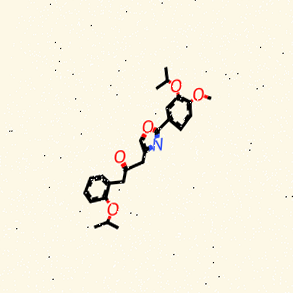 COc1ccc(-c2nc(CC(=O)Cc3ccccc3OC(C)C)co2)cc1OC(C)C